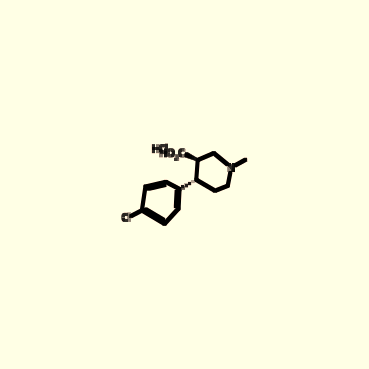 CN1CC[C@H](c2ccc(Cl)cc2)[C@@H](C(=O)O)C1.Cl